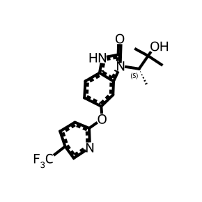 C[C@H](n1c(=O)[nH]c2ccc(Oc3ccc(C(F)(F)F)cn3)cc21)C(C)(C)O